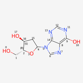 OC[C@H]1O[C](n2cnc3c(O)ncnc32)C[C@@H]1O